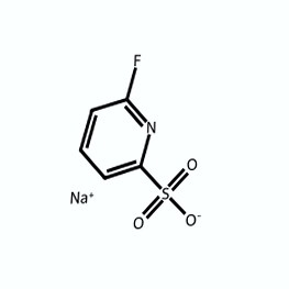 O=S(=O)([O-])c1cccc(F)n1.[Na+]